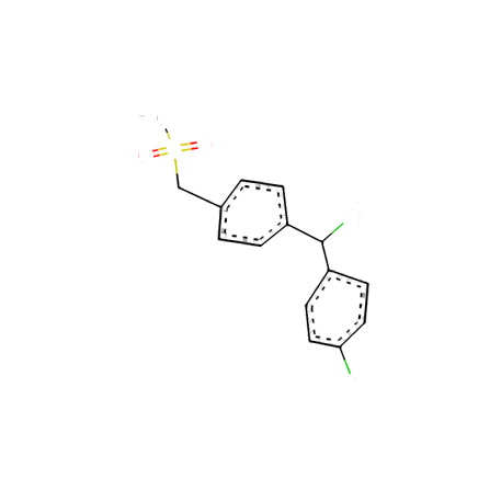 O=S(=O)(Cc1ccc(C(Cl)c2ccc(Cl)cc2)cc1)C(F)(F)F